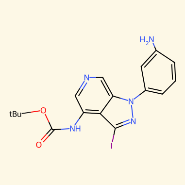 CC(C)(C)OC(=O)Nc1cncc2c1c(I)nn2-c1cccc(N)c1